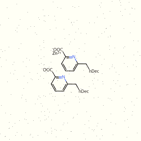 CCCCCCCCCCCc1cccc(C(=O)[O-])n1.CCCCCCCCCCCc1cccc(C(=O)[O-])n1.[Zn+2]